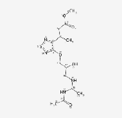 COC(=O)CC(C)c1nsnc1OCC(O)CNC(C)NC(C)=O